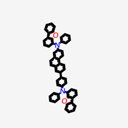 c1ccc(N(c2ccc(-c3ccc4c(ccc5cc(N(c6ccccc6)c6cccc7c6oc6ccccc67)ccc54)c3)cc2)c2cccc3c2oc2ccccc23)cc1